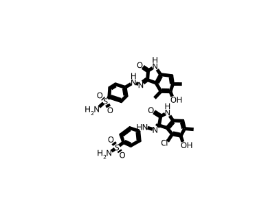 Cc1cc2c(c(C)c1O)C(=NNc1ccc(S(N)(=O)=O)cc1)C(=O)N2.Cc1cc2c(c(Cl)c1O)C(=NNc1ccc(S(N)(=O)=O)cc1)C(=O)N2